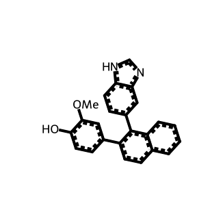 COc1cc(-c2ccc3ccccc3c2-c2ccc3[nH]cnc3c2)ccc1O